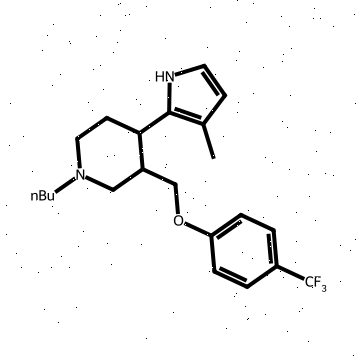 CCCCN1CCC(c2[nH]ccc2C)C(COc2ccc(C(F)(F)F)cc2)C1